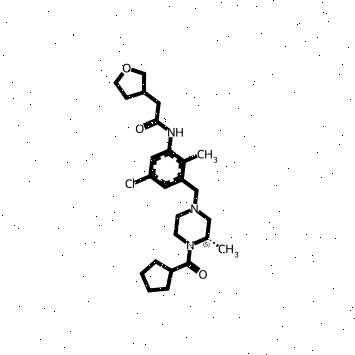 Cc1c(CN2CCN(C(=O)C3CCCC3)[C@@H](C)C2)cc(Cl)cc1NC(=O)CC1CCOC1